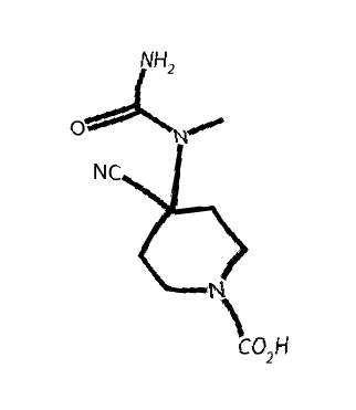 CN(C(N)=O)C1(C#N)CCN(C(=O)O)CC1